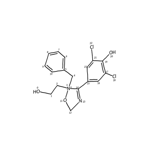 OCC[N+]1(Cc2ccccc2)OCN=C1c1cc(Cl)c(O)c(Cl)c1